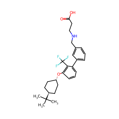 CC(C)(C)[C@H]1CC[C@H](Oc2cccc(-c3cccc(CNCCC(=O)O)c3)c2C(F)(F)F)CC1